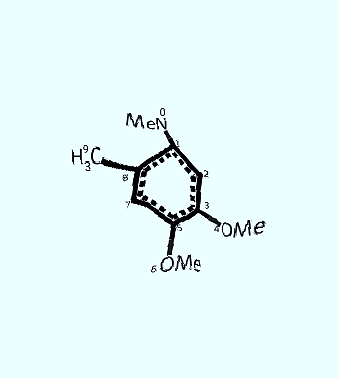 CNc1cc(OC)c(OC)cc1C